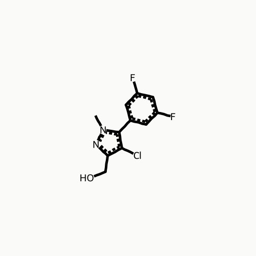 Cn1nc(CO)c(Cl)c1-c1cc(F)cc(F)c1